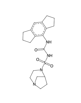 O=C(Nc1c2c(cc3c1CCC3)CCC2)NS(=O)(=O)N1CCN2CCC1C2